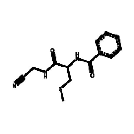 CSCC(NC(=O)c1ccccc1)C(=O)NCC#N